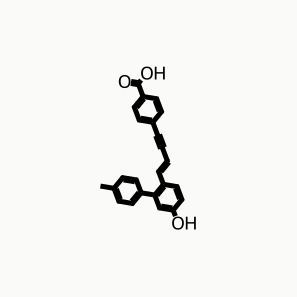 Cc1ccc(-c2cc(O)ccc2/C=C/C#Cc2ccc(C(=O)O)cc2)cc1